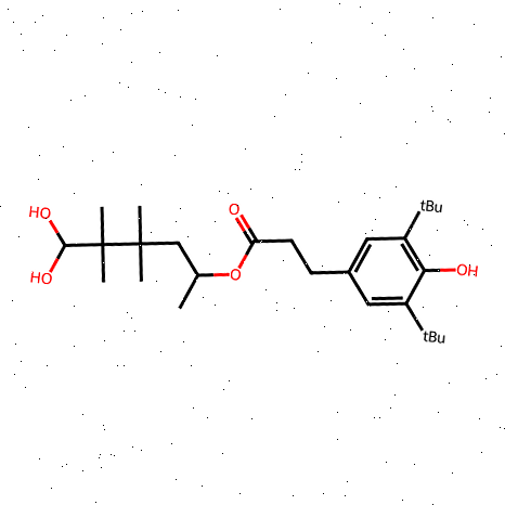 CC(CC(C)(C)C(C)(C)C(O)O)OC(=O)CCc1cc(C(C)(C)C)c(O)c(C(C)(C)C)c1